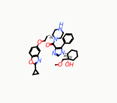 COC[C@]1(O)CCCC[C@H]1n1cnc(C(=O)N2CCNC[C@H]2CCOc2ccc3oc(C4CC4)nc3c2)c1-c1ccccc1